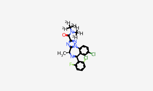 [2H]C([2H])([2H])N(C(=O)c1nc2n(n1)-c1ccc(Cl)c(Cl)c1C(c1c(F)cccc1F)=N[C@H]2C)C([2H])([2H])[2H]